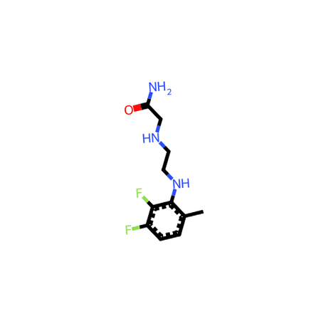 Cc1ccc(F)c(F)c1NCCNCC(N)=O